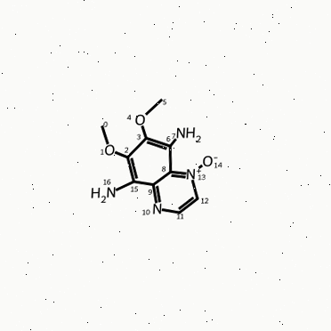 COc1c(OC)c(N)c2c(ncc[n+]2[O-])c1N